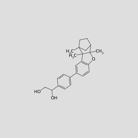 CC12CCC(C1)C1(C)Oc3ccc(-c4ccc(C(O)CO)cc4)cc3C21C